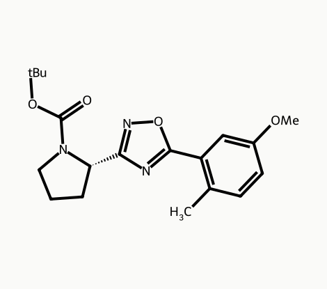 COc1ccc(C)c(-c2nc([C@@H]3CCCN3C(=O)OC(C)(C)C)no2)c1